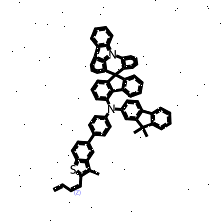 C=C/C=C\c1sc2ccc(-c3ccc(N(c4ccc5c(c4)C(C)(C)c4ccccc4-5)c4cccc5c4-c4ccccc4C54c5ccccc5-n5c6ccccc6c6cccc4c65)cc3)cc2c1C